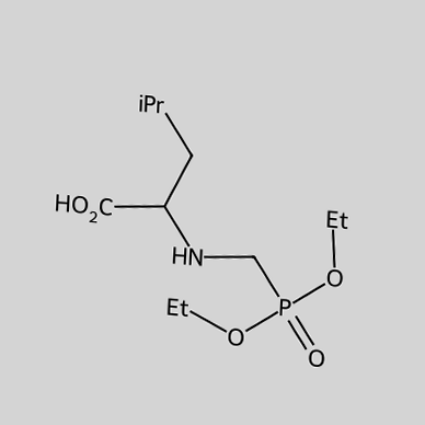 CCOP(=O)(CNC(CC(C)C)C(=O)O)OCC